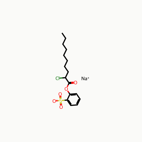 CCCCCCCCC(Cl)C(=O)Oc1ccccc1S(=O)(=O)[O-].[Na+]